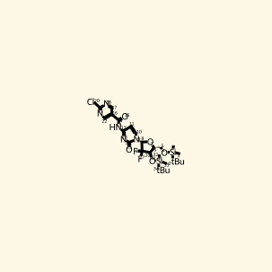 CC(C)(C)[Si](C)(C)OC[C@H]1O[C@@H](n2ccc(NC(=O)c3cnc(Cl)nc3)nc2=O)C(F)(F)C1O[Si](C)(C)C(C)(C)C